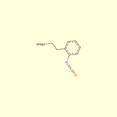 CCCCCCCCCc1ccccc1N=C=O